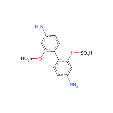 Nc1ccc(-c2ccc(N)cc2OS(=O)(=O)O)c(OS(=O)(=O)O)c1